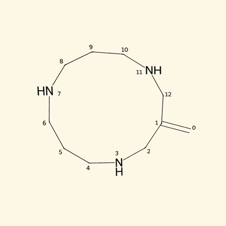 C=C1CNCCCNCCCNC1